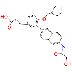 O=C(O)CCc1ccc(OCC2CCCC2)c(-c2ccc3cc(NC(=O)CO)ccc3c2)c1